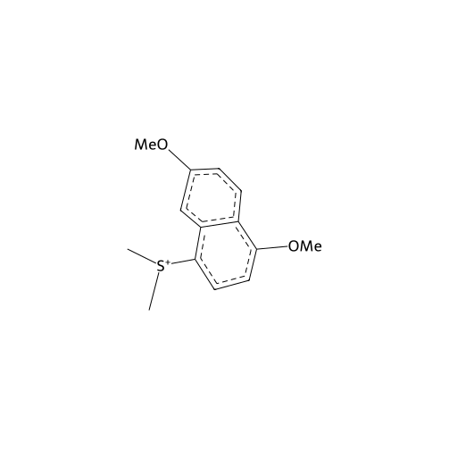 COc1ccc2c(OC)ccc([S+](C)C)c2c1